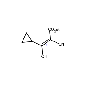 CCOC(=O)/C(C#N)=C(/O)C1CC1